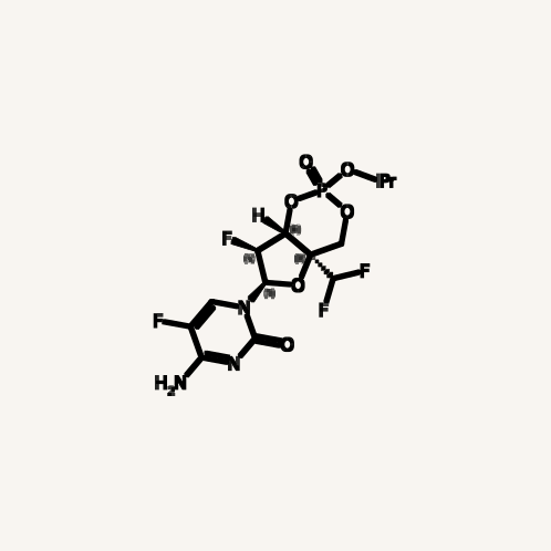 CC(C)OP1(=O)OC[C@@]2(C(F)F)O[C@@H](n3cc(F)c(N)nc3=O)[C@@H](F)[C@@H]2O1